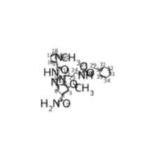 COc1cc(C(N)=O)cc2nc(NC(=O)c3cccn3C)n(CCCNC(=O)OCc3ccccc3)c12